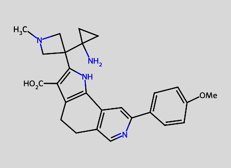 COc1ccc(-c2cc3c(cn2)CCc2c-3[nH]c(C3(C4(N)CC4)CN(C)C3)c2C(=O)O)cc1